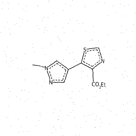 CCOC(=O)c1ncsc1-c1cnn(C)c1